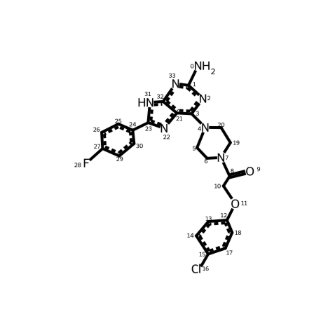 Nc1nc(N2CCN(C(=O)COc3ccc(Cl)cc3)CC2)c2nc(-c3ccc(F)cc3)[nH]c2n1